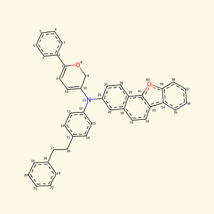 C1=C(c2ccccc2)OCC(N(c2ccc(CCc3ccccc3)cc2)c2ccc3c(ccc4c5ccccc5oc34)c2)=C1